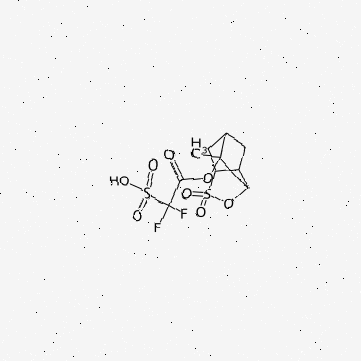 CC1(OC(=O)C(F)(F)S(=O)(=O)O)C2CC3C1OS(=O)(=O)C3C2